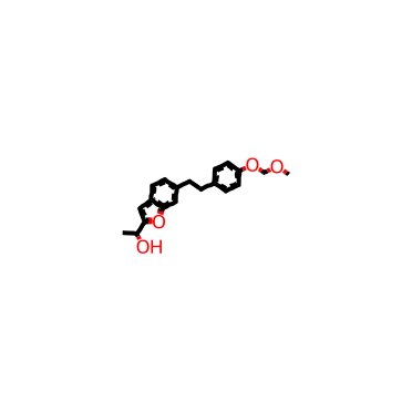 COCOc1ccc(CCc2ccc3cc(C(C)O)oc3c2)cc1